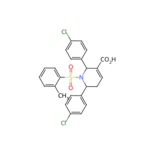 Cc1ccccc1S(=O)(=O)N1C(c2ccc(Cl)cc2)CC=C(C(=O)O)C1c1ccc(Cl)cc1